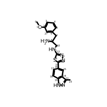 COc1cccc(CC(N)CNc2nnc(-c3ccc4[nH]nc(C)c4c3)s2)c1